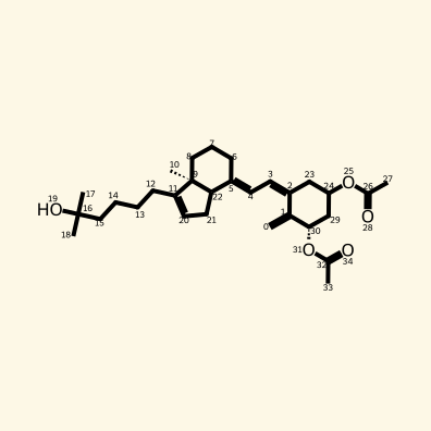 C=C1/C(=C\C=C2/CCC[C@]3(C)C(CCCCC(C)(C)O)=CCC23)CC(OC(C)=O)C[C@@H]1OC(C)=O